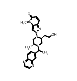 CC(c1ccc2nccnc2c1)N1C[C@H](CCO)N(n2cc3c(ccc(=O)n3C)n2)C[C@H]1C